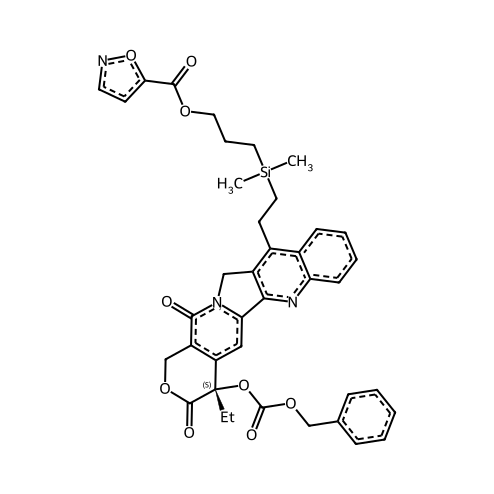 CC[C@@]1(OC(=O)OCc2ccccc2)C(=O)OCc2c1cc1n(c2=O)Cc2c-1nc1ccccc1c2CC[Si](C)(C)CCCOC(=O)c1ccno1